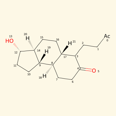 CC(=O)CCC1C(=O)CC[C@H]2[C@@H]3CC[C@H](O)[C@H]3CC[C@H]12